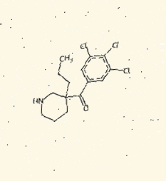 CCCC1(C(=O)c2cc(Cl)c(Cl)c(Cl)c2)CCCNC1